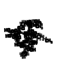 CCCCc1ccc(NC(=O)NC(=O)C[C@@H]2CC(=O)[C@H](NC(=O)[C@H](CC)CC(C)C)[C@H](O)c3ccc(c(Cl)c3)Oc3cc4cc(c3O[C@@H]3O[C@H](CO)[C@@H](O)[C@H](O)[C@H]3O)Oc3ccc(cc3Cl)[C@@H](O)[C@@H]3NC(=O)[C@@H](CC(=O)[C@@H]4NC2=O)c2ccc(O)c(c2)-c2c(O)cc(O)cc2[C@@H](C(=O)CC2C4CC5CC(C4)CC2C5)NC3=O)cc1